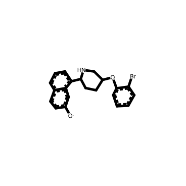 [O]c1ccc2cccc(C3CCC(Oc4ccccc4Br)CN3)c2c1